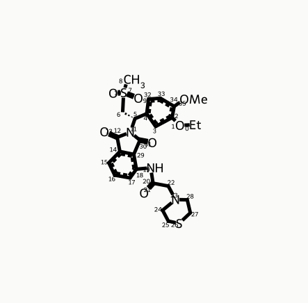 CCOc1cc([C@@H](CS(C)(=O)=O)N2C(=O)c3cccc(NC(=O)CN4CCSCC4)c3C2=O)ccc1OC